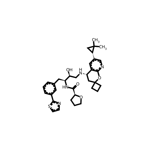 CC1(C)C[C@H]1c1cnc2c(c1)[C@@H](NC[C@H](O)[C@H](Cc1cccc(-c3nccs3)c1)NC(=O)[C@@H]1CCCO1)CC1(CCC1)O2